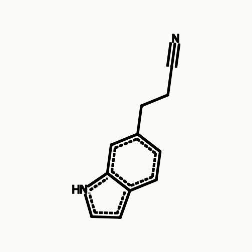 N#CCCc1ccc2cc[nH]c2c1